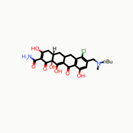 CCCCN(C)Cc1cc(O)c2c(c1Cl)CC1C[C@H]3CC(O)=C(C(N)=O)C(=O)[C@@]3(O)C(O)=C1C2=O